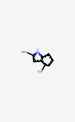 O=Cc1cc2c([N+](=O)[O-])cccc2[nH]1